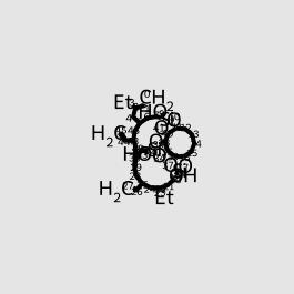 C=CC(CC)CC1CC[Si]2(O)OC3CCCCC4O[Si]5(O)CCC(CC)CC(C=C)CC(CC[Si]6(O)OC(C4O5)C(O6)C3O2)CC(C=C)C1